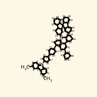 Cc1ccc2c(c1)c1cc(C)ccc1n2-c1ccc(-c2ccc(-c3ccc(N(c4ccc5c(c4)C4(c6ccccc6-c6ccccc64)c4ccccc4-5)c4ccccc4-c4cccc(-c5ccccc5)c4)cc3)cc2)cc1